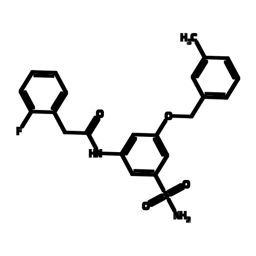 Cc1cccc(COc2cc(NC(=O)Cc3ccccc3F)cc(S(N)(=O)=O)c2)c1